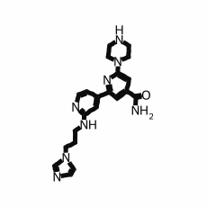 NC(=O)c1cc(-c2ccnc(NCCCn3ccnc3)c2)nc(N2CCNCC2)c1